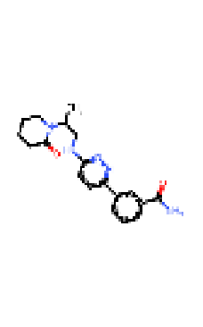 CC(CNc1ccc(-c2cccc(C(N)=O)c2)nn1)N1CCCCC1=O